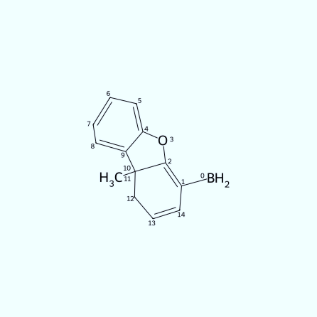 BC1=C2Oc3ccccc3C2(C)CC=C1